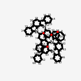 C1=CCC=CC(c2cccc(-n3c4ccccc4c4ccc5c6ccccc6n(-c6ccc7c(-n8c9ccccc9c9ccc%10c%11ccccc%11n(-c%11cccc(-c%12ccccc%12)c%11)c%10c98)cc8ccccc8c7c6)c5c43)c2)=C1